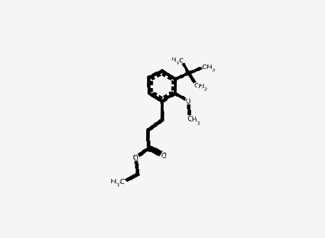 CCOC(=O)CCc1cccc(C(C)(C)C)c1OC